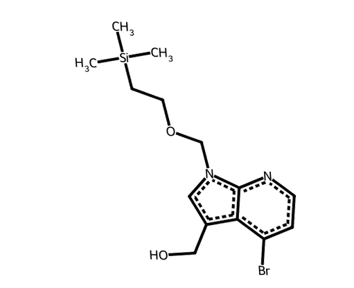 C[Si](C)(C)CCOCn1cc(CO)c2c(Br)ccnc21